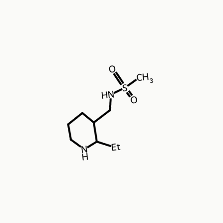 CCC1NCCCC1CNS(C)(=O)=O